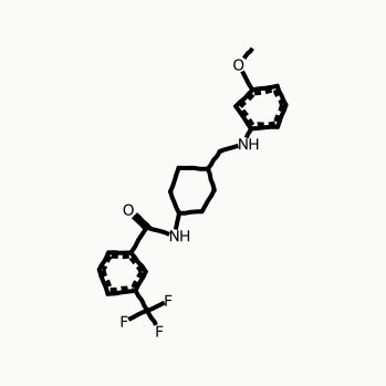 COc1cccc(NCC2CCC(NC(=O)c3cccc(C(F)(F)F)c3)CC2)c1